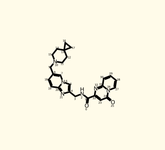 O=C(NCc1cn2cc(CN3CCC4(CC3)CC4)ccc2n1)c1cc(=O)n2ccccc2n1